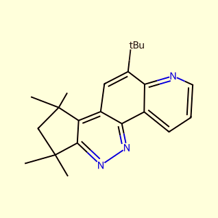 CC(C)(C)c1cc2c3c(nnc2c2cccnc12)C(C)(C)CC3(C)C